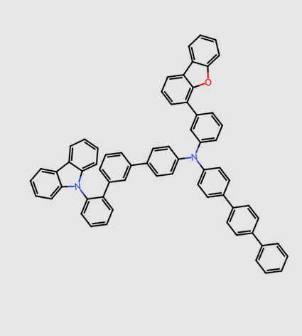 c1ccc(-c2ccc(-c3ccc(N(c4ccc(-c5cccc(-c6ccccc6-n6c7ccccc7c7ccccc76)c5)cc4)c4cccc(-c5cccc6c5oc5ccccc56)c4)cc3)cc2)cc1